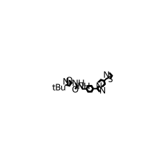 CC(C)(C)c1cc(NC(=O)NCc2ccc(-c3cnc4cc(-c5nccs5)ccn34)cc2)on1